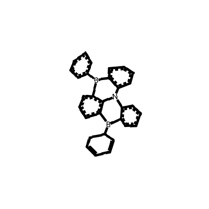 C1=CCC(B2c3ccccc3N3c4ccccc4B(c4ccccc4)c4cccc2c43)C=C1